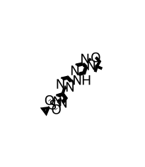 CC1(C)COc2nc3cnc(Nc4ccnc(-c5cnn(S(=O)(=O)C6CC6)c5)n4)cc3n21